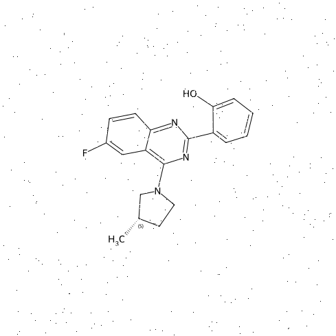 C[C@H]1CCN(c2nc(-c3ccccc3O)nc3ccc(F)cc23)C1